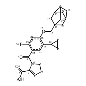 O=C(O)C1=CCCN1C(=O)c1cc(C2CC2)c(OCC23CC4CC(C2)C(C4)C3)cc1F